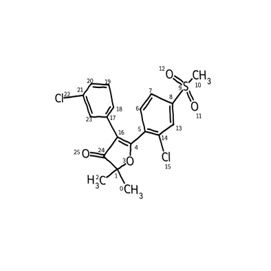 CC1(C)OC(c2ccc(S(C)(=O)=O)cc2Cl)=C(c2cccc(Cl)c2)C1=O